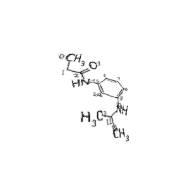 CCC(=O)Nc1cccc(NC(C)C)c1